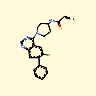 C=CC(=O)NC1CCN(c2ncnc3cc(-c4ccccc4)c(Cl)cc23)CC1